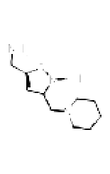 CN1SC(CN)=CC1CN1CCCCC1